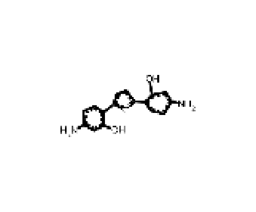 Nc1ccc(-c2ccc(-c3ccc(N)cc3O)o2)c(O)c1